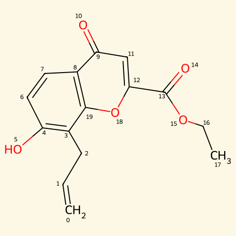 C=CCc1c(O)ccc2c(=O)cc(C(=O)OCC)oc12